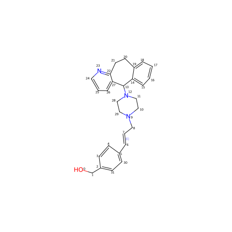 OCc1ccc(/C=C/CN2CCN(C3c4ccccc4CCc4ncccc43)CC2)cc1